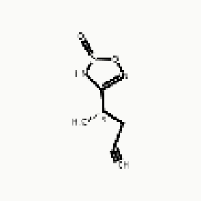 C#CC[C@H](C)C1=NOS(=O)N1